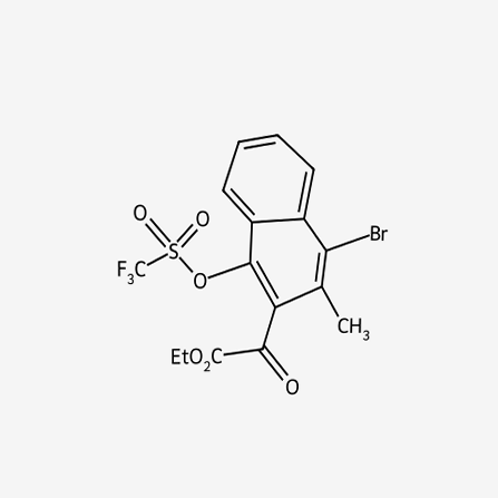 CCOC(=O)C(=O)c1c(C)c(Br)c2ccccc2c1OS(=O)(=O)C(F)(F)F